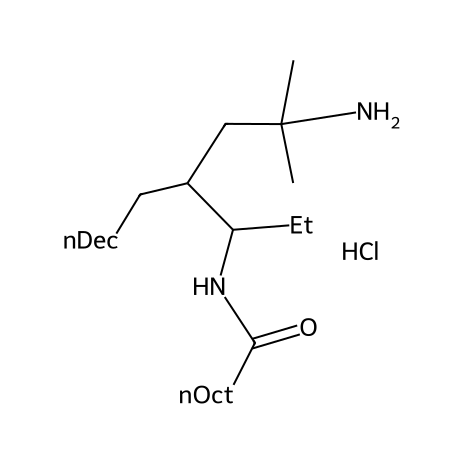 CCCCCCCCCCCC(CC(C)(C)N)C(CC)NC(=O)CCCCCCCC.Cl